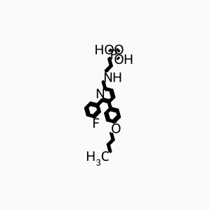 CCCCCOc1ccc(-c2ccc(CNCCCP(=O)(O)O)nc2-c2cccc(F)c2)cc1